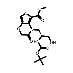 COC(=O)c1scc2c1N(C[C@@H](CO)NC(=O)OC(C)(C)C)C(=O)CO2